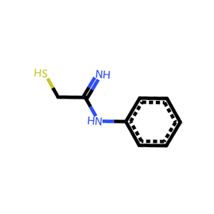 N=C(CS)Nc1ccccc1